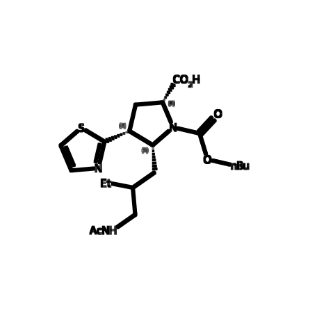 CCCCOC(=O)N1[C@@H](C(=O)O)C[C@@H](c2nccs2)[C@H]1CC(CC)CNC(C)=O